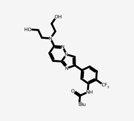 CC(C)(C)C(=O)Nc1cc(-c2cn3nc(N(CCO)CCO)ccc3n2)ccc1C(F)(F)F